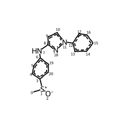 C[S+]([O-])c1ccc(Nc2ccn(-c3ccccc3)n2)cc1